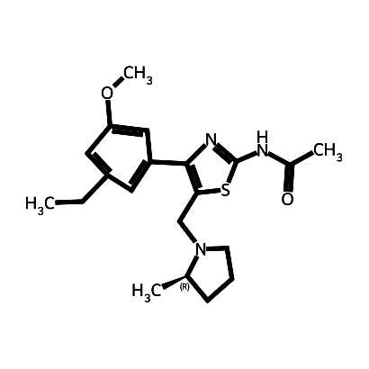 CCc1cc(OC)cc(-c2nc(NC(C)=O)sc2CN2CCC[C@H]2C)c1